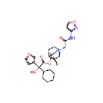 O=C(C[N+]12CCC(CC1)[C@@H](OC(=O)C(O)(c1ccoc1)C1CCCCC1)C2)Nc1ccon1